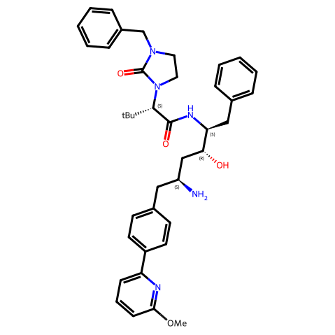 COc1cccc(-c2ccc(C[C@H](N)C[C@@H](O)[C@H](Cc3ccccc3)NC(=O)[C@@H](N3CCN(Cc4ccccc4)C3=O)C(C)(C)C)cc2)n1